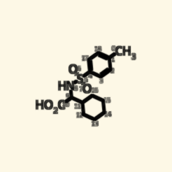 Cc1ccc(S(=O)(=O)NC(C(=O)O)C2CCCCC2)cc1